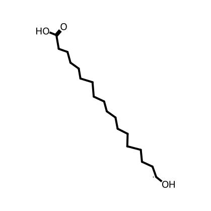 O=C(O)CCCCCCCCCCCCCCCC[CH]O